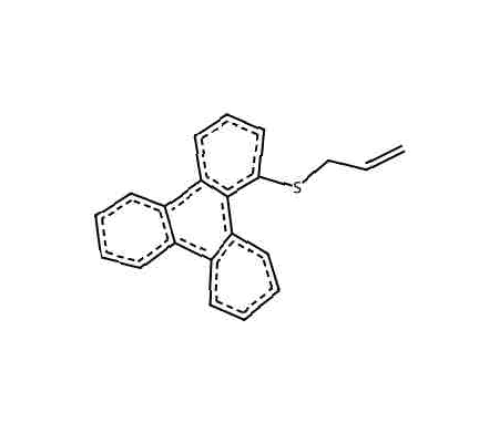 C=CCSc1cccc2c3ccccc3c3ccccc3c12